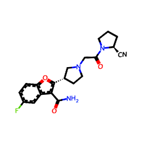 N#C[C@@H]1CCCN1C(=O)CN1CC[C@H](c2oc3ccc(F)cc3c2C(N)=O)C1